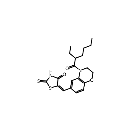 CCCCC(CC)C(=O)N1CCOc2ccc(C=C3SC(=S)NC3=O)cc21